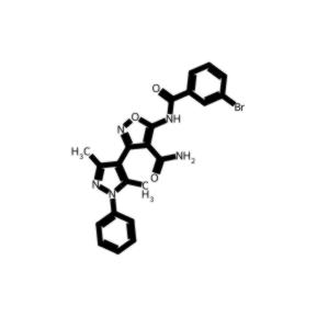 Cc1nn(-c2ccccc2)c(C)c1-c1noc(NC(=O)c2cccc(Br)c2)c1C(N)=O